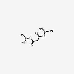 CCCN(CCC)OC(=O)CC(=O)ON(CCC)CCC